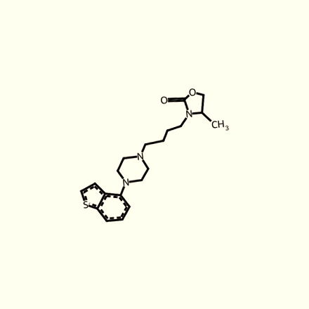 CC1COC(=O)N1CCCCN1CCN(c2cccc3sccc23)CC1